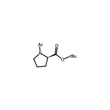 CC(=O)N1CCC[C@@H]1C(=O)OC(C)(C)C